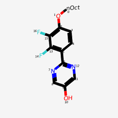 CCCCCCCCOc1ccc(-c2ncc(O)cn2)c(F)c1F